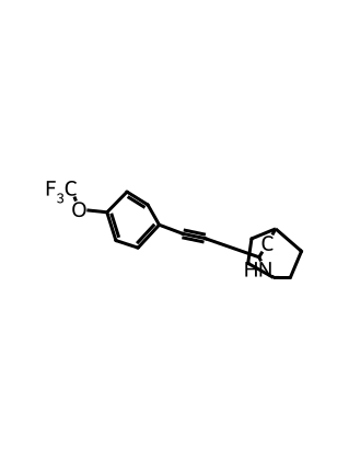 FC(F)(F)Oc1ccc(C#CC2CC3CCC(CC3)N2)cc1